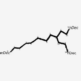 CCCCCCCCCCCCCCCCC[C](CCCCCCCCCCCC)CCCCCCCCCCCC